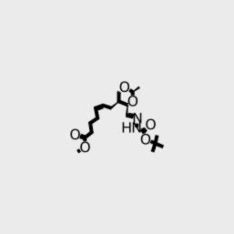 COC(=O)CCC/C=C\C[C@H]1CO[C@@H](C)O[C@H]1C=NNC(=O)OC(C)(C)C